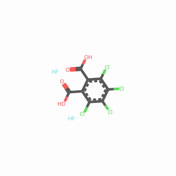 F.F.O=C(O)c1c(Cl)c(Cl)c(Cl)c(Cl)c1C(=O)O